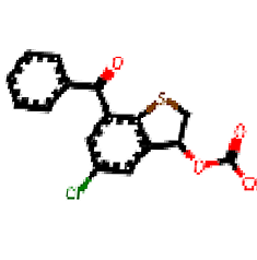 O=C(O)OC1CSc2c(C(=O)c3ccccc3)cc(Cl)cc21